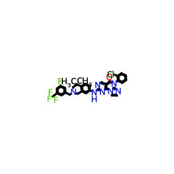 CC1(C)CN(Cc2cc(F)cc(C(F)(F)F)c2)Cc2cc(Nc3ncc4c(=O)n(-c5ccccc5Cl)c5nccn5c4n3)ccc21